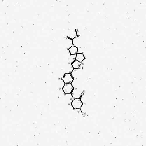 CCNC(=O)N1CCC2(CCN3NC(c4cnc5c(c4)C=C(N4CCN(C)CC4=O)CC5)C=C32)C1